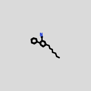 CCCCCCCc1ccc(-c2ccccc2)c(C#N)c1